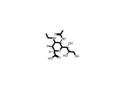 CCNC1[C@@H](NC(C)=O)C([C@H](O)[C@H](O)CO)O[C@@](F)(C(=O)O)[C@H]1F